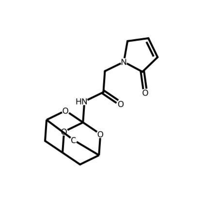 O=C(CN1CC=CC1=O)NC12OC3CC(CC(C3)O1)O2